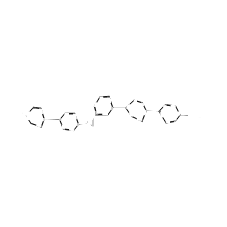 CC(C)(C)c1ccc(-c2ccc(-c3cccc(Nc4ccc(-c5ccncc5)cc4)c3)cc2)cc1